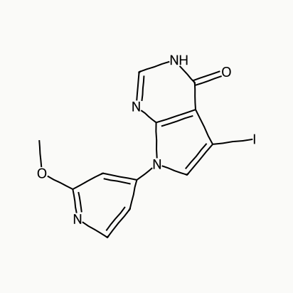 COc1cc(-n2cc(I)c3c(=O)[nH]cnc32)ccn1